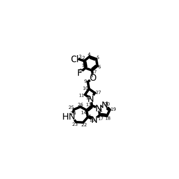 Fc1c(Cl)cccc1OCC1CN(c2c3c(nc4ccnn24)CCNCC3)C1